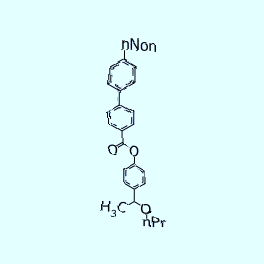 CCCCCCCCCc1ccc(-c2ccc(C(=O)Oc3ccc(C(C)OCCC)cc3)cc2)cc1